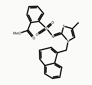 COC(=O)c1ccccc1S(=O)(=O)N=c1sc(C)cn1Cc1cccc2ccccc12